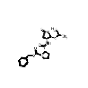 CC(C)O[C@@H]1OC(=O)C[C@@H]1NC(=O)[C@@H]1CCCN1C(=O)OCc1ccccc1